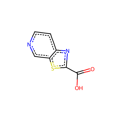 O=C(O)c1nc2ccncc2s1